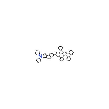 c1ccc(-c2cc(-c3ccccc3)c3c4ccc(-c5ccc6c(ccc7cc(N(c8ccccc8)c8ccccc8)ccc76)c5)cc4c4ccccc4c3c2-c2ccccc2)cc1